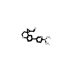 CN(C)c1ccc(-c2ccc3c(c2)C2(CCO3)CC2C=O)cn1